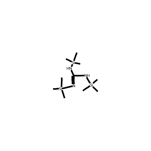 C[Si](C)(C)N=C(N[Si](C)(C)C)N[Si](C)(C)C